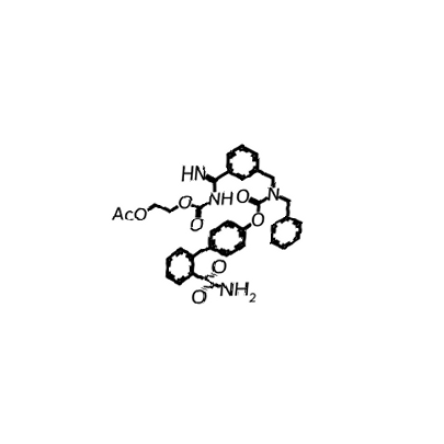 CC(=O)OCCOC(=O)NC(=N)c1cccc(CN(Cc2ccccc2)C(=O)Oc2ccc(-c3ccccc3S(N)(=O)=O)cc2)c1